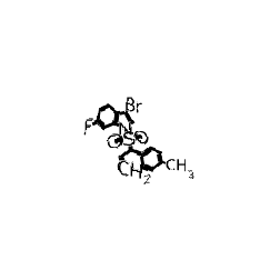 C=CC(c1ccc(C)cc1)S(=O)(=O)n1cc(Br)c2ccc(F)cc21